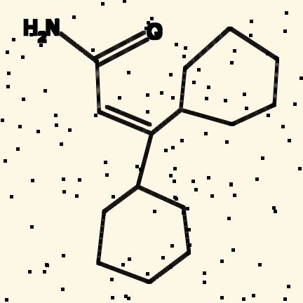 NC(=O)C=C(C1CCCCC1)C1CCCCC1